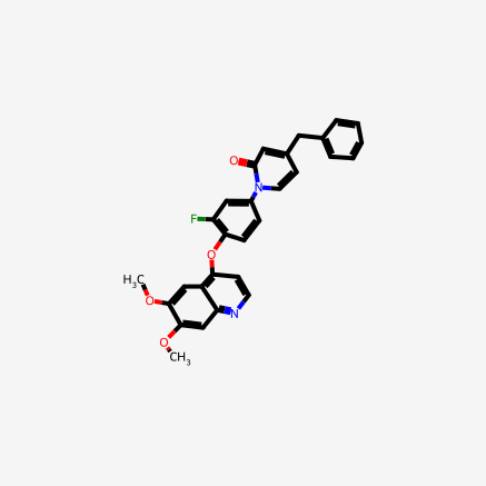 COc1cc2nccc(Oc3ccc(-n4ccc(Cc5ccccc5)cc4=O)cc3F)c2cc1OC